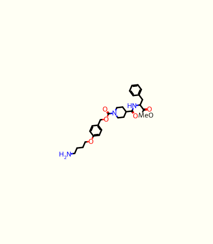 COC(=O)C(Cc1ccccc1)NC(=O)C1CCN(C(=O)OCc2ccc(OCCCCN)cc2)CC1